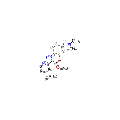 CCOC(=O)c1ccnc(C(NC2CCC(CN(C)C)CC2)C(=O)OC(C)(C)C)c1